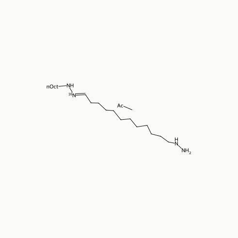 CC(C)=O.CCCCCCCCN[16N]=CCCCCCCCCCCCNN